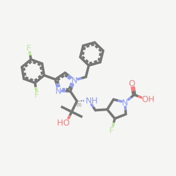 CC(C)(O)[C@@H](NCC1CN(C(=O)O)CC1F)c1nc(-c2cc(F)ccc2F)cn1Cc1ccccc1